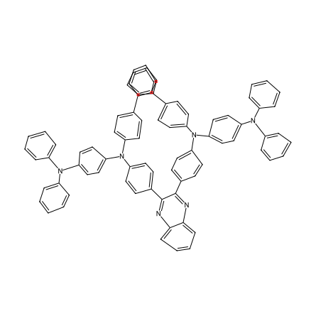 c1ccc(-c2ccc(N(c3ccc(-c4nc5ccccc5nc4-c4ccc(N(c5ccc(-c6ccccc6)cc5)c5ccc(N(c6ccccc6)c6ccccc6)cc5)cc4)cc3)c3ccc(N(c4ccccc4)c4ccccc4)cc3)cc2)cc1